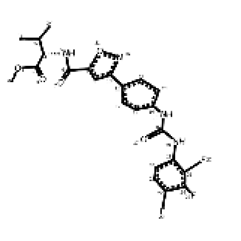 COC(=O)[C@@H](NC(=O)c1cc(-c2ccc(NC(=O)Nc3ccc(F)c(F)c3F)cc2)no1)C(C)C